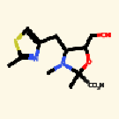 Cc1nc(CC2C(CO)OC(C)(C(=O)O)N2C)cs1